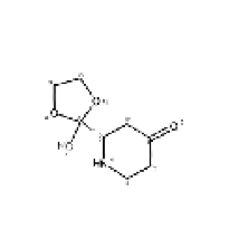 O=C1CCN[C@H](C2(O)OCCO2)C1